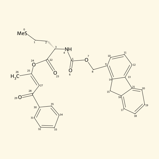 CSCC[C@H](NC(=O)OCc1cccc2c1Cc1ccccc1-2)C(=O)OC(C)=CC(=O)c1ccccc1